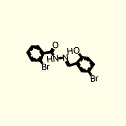 O=C(N/N=C/c1cc(Br)ccc1O)c1ccccc1Br